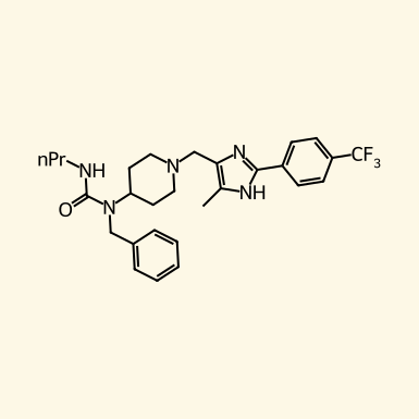 CCCNC(=O)N(Cc1ccccc1)C1CCN(Cc2nc(-c3ccc(C(F)(F)F)cc3)[nH]c2C)CC1